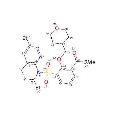 CCc1cnc2c(c1)CCC(CC)N2S(=O)(=O)c1cccc(C(=O)OC)c1OCC1CCOCC1